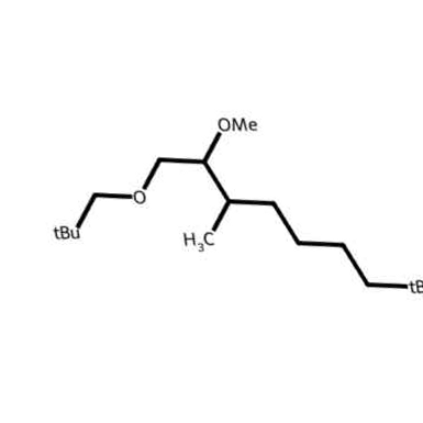 COC(COCC(C)(C)C)C(C)CCCCC(C)(C)C